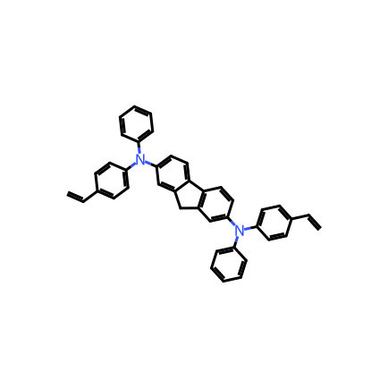 C=Cc1ccc(N(c2ccccc2)c2ccc3c(c2)Cc2cc(N(c4ccccc4)c4ccc(C=C)cc4)ccc2-3)cc1